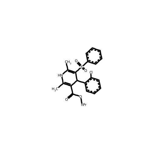 CCCOC(=O)C1=C(C)NC(C)=C(S(=O)(=O)c2ccccc2)C1c1ccccc1Cl